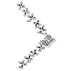 NN.NN.NN.NN.NN.NN.[Al+3].[O-][Cl+3]([O-])([O-])O.[O-][Cl+3]([O-])([O-])O.[O-][Cl+3]([O-])([O-])O.[O-][Cl+3]([O-])([O-])O.[O-][Cl+3]([O-])([O-])O.[O-][Cl+3]([O-])([O-])O.[O-][Cl+3]([O-])([O-])[O-].[O-][Cl+3]([O-])([O-])[O-].[O-][Cl+3]([O-])([O-])[O-]